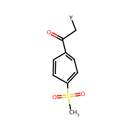 CS(=O)(=O)c1ccc(C(=O)[CH2][Y])cc1